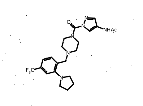 CC(=O)Nc1cnn(C(=O)N2CCN(Cc3ccc(C(F)(F)F)cc3N3CCCC3)CC2)c1